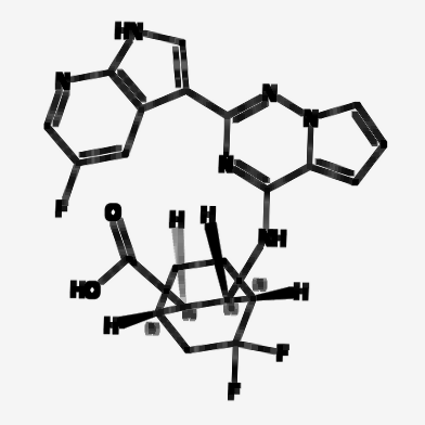 O=C(O)[C@@H]1[C@H]2CC[C@@H]([C@H]1Nc1nc(-c3c[nH]c4ncc(F)cc34)nn3cccc13)C(F)(F)C2